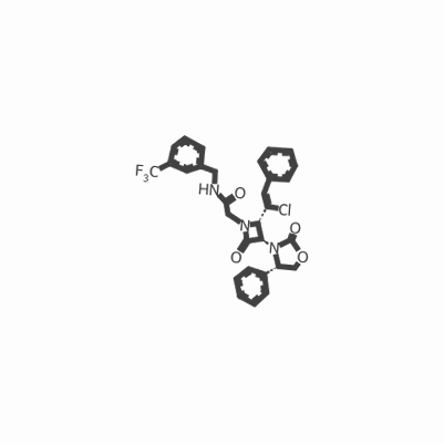 O=C(CN1C(=O)[C@@H](N2C(=O)OC[C@@H]2c2ccccc2)[C@H]1/C(Cl)=C/c1ccccc1)NCc1cccc(C(F)(F)F)c1